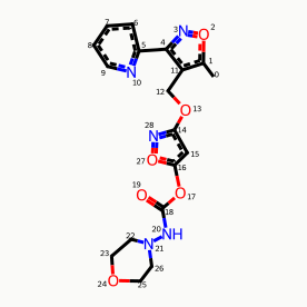 Cc1onc(-c2ccccn2)c1COc1cc(OC(=O)NN2CCOCC2)on1